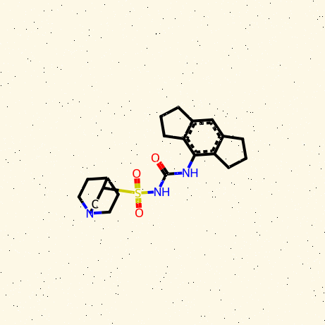 O=C(Nc1c2c(cc3c1CCC3)CCC2)NS(=O)(=O)C1CN2CCC1CC2